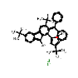 CC1C=C(C(C)(C)C)C=C1c1c2c(cc(C(C)(C)C)c1=C(c1ccccc1)c1ccccc1)=c1cc(C(C)(C)C)ccc1=[C]2[Zr+2].[Cl-].[Cl-]